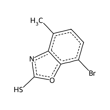 Cc1ccc(Br)c2oc(S)nc12